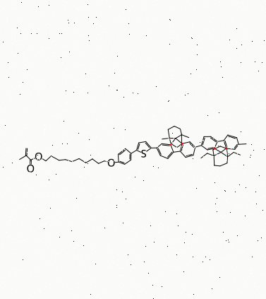 C=C(C)C(=O)OCCCCCCCCCCOc1ccc(-c2ccc(-c3ccc4c(c3)C3(c5cc(-c6ccc7c(c6)C6(c8cc(C)ccc8-7)C7(CC)CCCC6(CC)CCC7)ccc5-4)C4(C)CCCC3(C)CCC4)s2)cc1